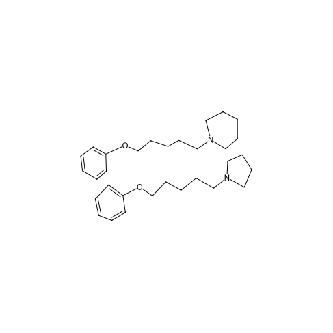 c1ccc(OCCCCCN2CCCC2)cc1.c1ccc(OCCCCCN2CCCCC2)cc1